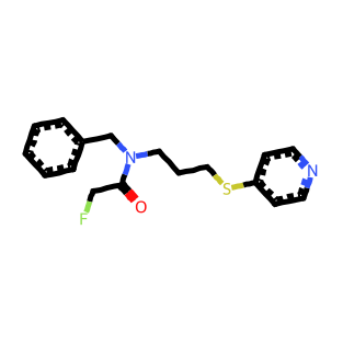 O=C(CF)N(CCCSc1ccncc1)Cc1ccccc1